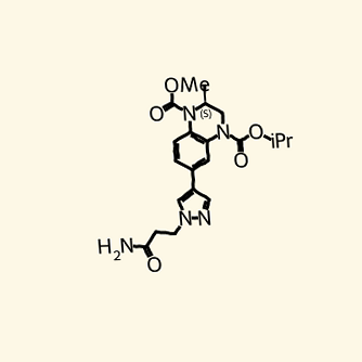 COC(=O)N1c2ccc(-c3cnn(CCC(N)=O)c3)cc2N(C(=O)OC(C)C)C[C@@H]1C